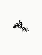 CCNC(=O)c1ccc(-c2ccc([C@H](c3cccc(F)c3)C(C)(C)C(=O)Nc3nncs3)s2)cc1